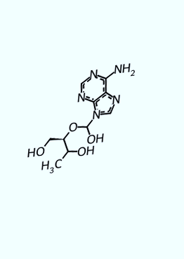 CC(O)[C@@H](CO)OC(O)n1cnc2c(N)ncnc21